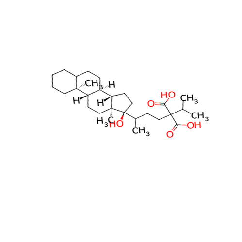 CC(C)C(CCC(C)[C@@]1(O)CC[C@H]2[C@@H]3CCC4CCCC[C@]4(C)[C@H]3CC[C@@]21C)(C(=O)O)C(=O)O